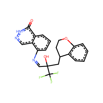 O=c1[nH]ncc2c(/N=C\C(O)(CC3CCOc4ccccc43)C(F)(F)F)cccc12